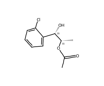 CC(=O)O[C@@H](C)[C@@H](O)c1ccccc1Cl